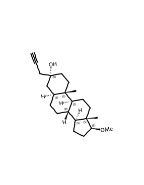 C#CC[C@@]1(O)CC[C@@]2(C)[C@@H](CC[C@@H]3[C@@H]2CC[C@]2(C)[C@@H](OC)CC[C@@H]32)C1